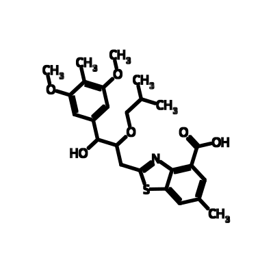 COc1cc(C(O)C(Cc2nc3c(C(=O)O)cc(C)cc3s2)OCC(C)C)cc(OC)c1C